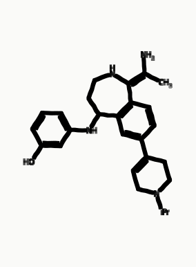 C/C(N)=C1/NCCC(Nc2cccc(O)c2)c2cc(C3=CCN(C(C)C)CC3)ccc21